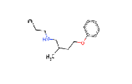 CC(C)CCNCC(C)CCOc1ccccc1